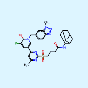 Cc1cc(C2=CN(Cc3ccc4nnn(C)c4c3)C(O)C(F)=C2)nc(S(=O)(=O)CCCC(=O)NC2C3CC4CC(C3)CC2C4)n1